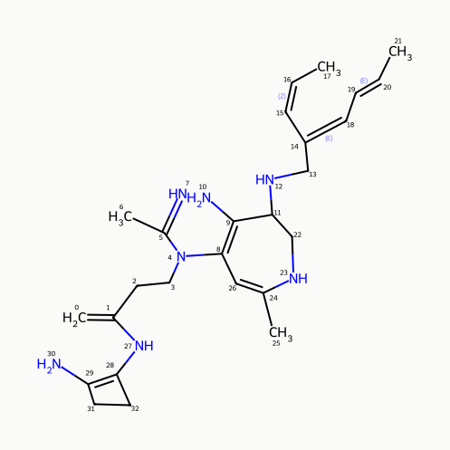 C=C(CCN(C(C)=N)C1=C(N)C(NCC(/C=C\C)=C/C=C/C)CNC(C)=C1)NC1=C(N)CC1